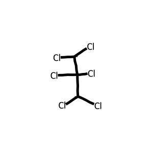 Cl[C](Cl)C(Cl)(Cl)[C](Cl)Cl